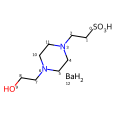 O=S(=O)(O)CCN1CCN(CCO)CC1.[BaH2]